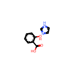 O=C(O)c1ccccc1O.c1c[nH]cn1